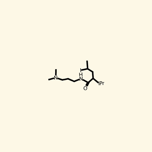 CC(I)CC(C(=O)NCCCN(C)C)C(C)C